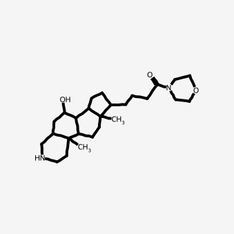 CC12CCC3C(C(O)CC4CNCCC43C)C1CCC2CCCC(=O)N1CCOCC1